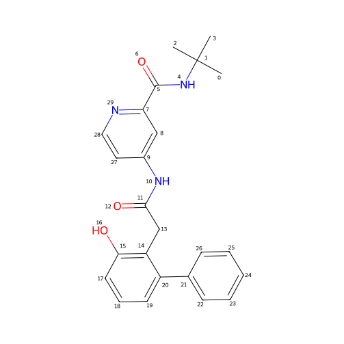 CC(C)(C)NC(=O)c1cc(NC(=O)Cc2c(O)cccc2-c2ccccc2)ccn1